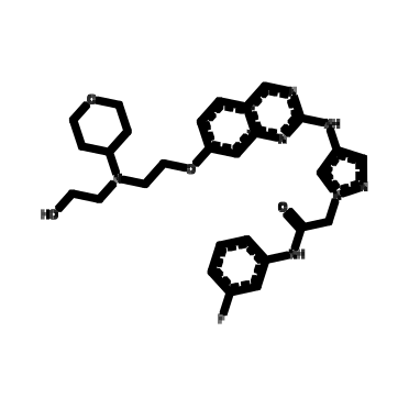 O=C(Cn1cc(Nc2ncc3ccc(OCCN(CCO)C4CCOCC4)cc3n2)cn1)Nc1cccc(F)c1